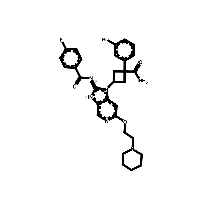 NC(=O)C1(c2cccc(Br)c2)CC(n2/c(=N/C(=O)c3ccc(F)cc3)[nH]c3cnc(OCCN4CCCCC4)cc32)C1